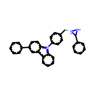 c1ccc(-c2ccc3c(c2)c2ccccc2n3-c2ccc(C[N@]3NC3c3ccccc3)cc2)cc1